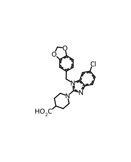 O=C(O)C1CCN(c2nc3ccc(Cl)cc3n2Cc2ccc3c(c2)OCO3)CC1